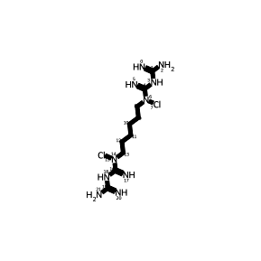 N=C(N)NC(=N)N(Cl)CCCCCCN(Cl)C(=N)NC(=N)N